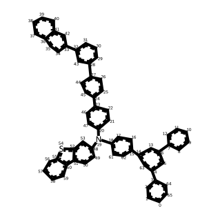 c1ccc(-c2cc(-c3ccccc3)cc(-c3ccc(N(c4ccc(-c5ccc(-c6cccc(-c7ccc8ccccc8c7)c6)cc5)cc4)c4ccc5c(c4)sc4ccccc45)cc3)c2)cc1